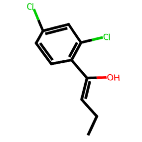 CCC=C(O)c1ccc(Cl)cc1Cl